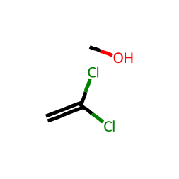 C=C(Cl)Cl.CO